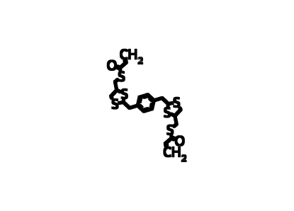 C=CC(=O)SCC1CSC(Cc2ccc(CC3SCC(CSC(=O)C=C)S3)cc2)S1